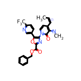 C=Nc1c(/C=C\C)ccn(-c2nc(C(=O)OCc3ccccc3)oc2-c2ccc(C(F)(F)F)nc2)c1=O